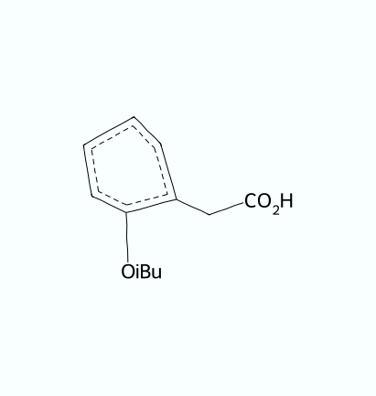 CC(C)COc1ccccc1CC(=O)O